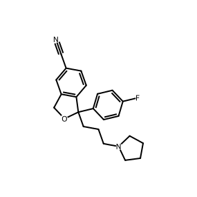 N#Cc1ccc2c(c1)COC2(CCCN1CCCC1)c1ccc(F)cc1